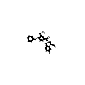 COc1cc(C(=O)N(CCCN)Cc2ccc(F)cc2)ccc1OCc1ccccc1